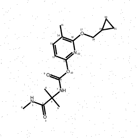 CNC(=O)C(C)(C)NC(=O)Oc1ccc(C)c(OCC2CC2)n1